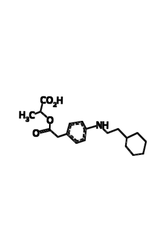 CC(OC(=O)Cc1ccc(NCCC2CCCCC2)cc1)C(=O)O